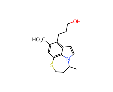 CC1CCSc2cc(C(=O)O)c(CCCO)c3ccn1c23